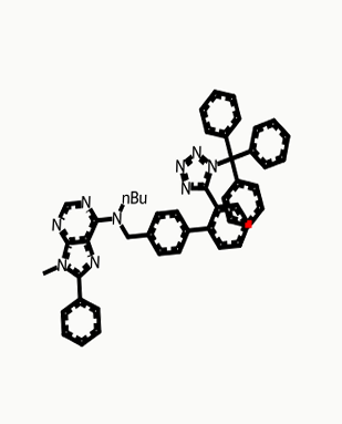 CCCCN(Cc1ccc(-c2ccccc2-c2nnnn2C(c2ccccc2)(c2ccccc2)c2ccccc2)cc1)c1ncnc2c1nc(-c1ccccc1)n2C